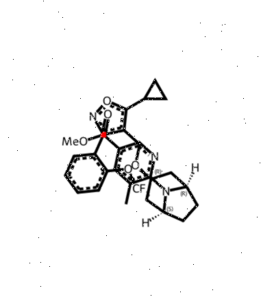 COC(=O)c1cnc(N2[C@@H]3CC[C@H]2C[C@@H](OCc2c(-c4ccccc4OC(F)(F)F)noc2C2CC2)C3)c(C)c1